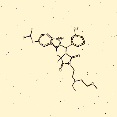 CCN(CCOC)CCN1C(=O)N2C(c3cccc(O)c3)c3[nH]c4ccc(OC(F)F)cc4c3CC2(C)C1=O